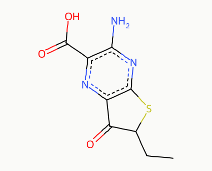 CCC1Sc2nc(N)c(C(=O)O)nc2C1=O